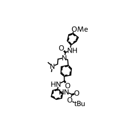 COc1ccc(NC(=O)N(CCN(C)C)Cc2ccc(C(=O)Nc3ccccc3NC(=O)OC(C)(C)C)cc2)cc1